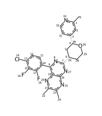 Cc1cc([C@H]2C[C@@H](c3nc(-c4ccc(Cl)c(F)c4F)c4nc(C)c(C)nc4n3)CCO2)ccn1